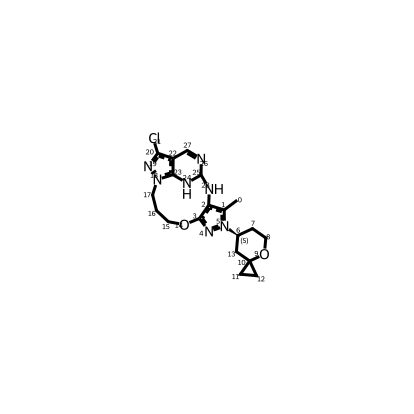 Cc1c2c(nn1[C@H]1CCOC3(CC3)C1)OCCCn1nc(Cl)c3c1NC(N=C3)N2